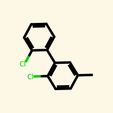 Cc1ccc(Cl)c(-c2ccccc2Cl)c1